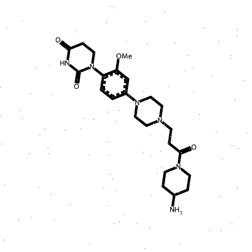 COc1cc(N2CCN(CCC(=O)N3CCC(N)CC3)CC2)ccc1N1CCC(=O)NC1=O